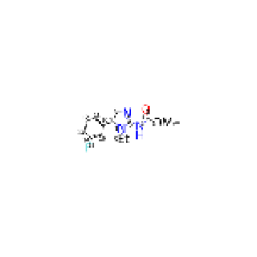 CCN1C(NC(=O)OC)=NCC1c1cccc(F)c1